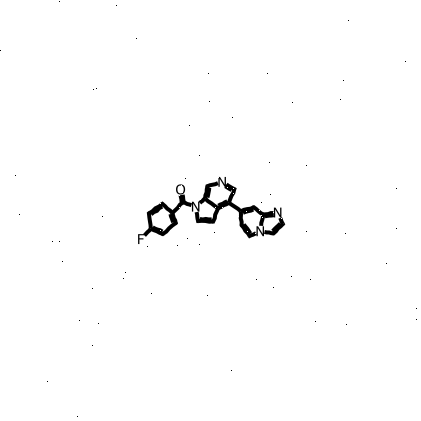 O=C(c1ccc(F)cc1)n1ccc2c(-c3ccn4ccnc4c3)cncc21